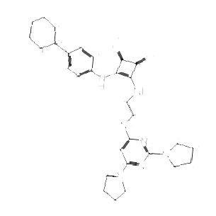 O=c1c(NCCNc2cc(N3CCCC3)nc(N3CCCC3)n2)c(Nc2ccc(C3CCCCC3)cc2)c1=O